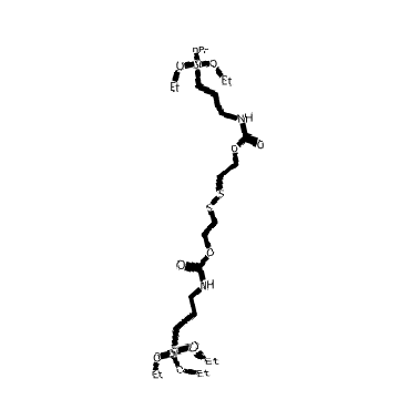 CCC[Si](CCCNC(=O)OCCSSCCOC(=O)NCCC[Si](OCC)(OCC)OCC)(OCC)OCC